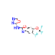 Fc1cc2nc(Nc3nnco3)oc2cc1OC(F)(F)F